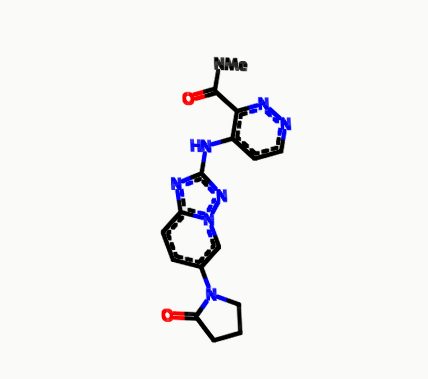 CNC(=O)c1nnccc1Nc1nc2ccc(N3CCCC3=O)cn2n1